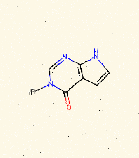 CC(C)n1cnc2[nH]ccc2c1=O